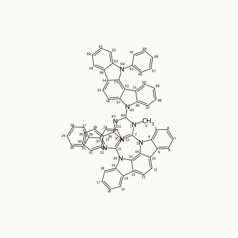 CN1C(n2c3ccccc3c3ccc4c5ccccc5n(-c5cccc(-c6ccccc6)n5)c4c32)=NC(c2ccccc2)=NC1n1c2ccccc2c2c3c(ccc21)c1ccccc1n3-c1ccccc1